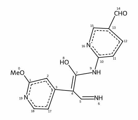 COc1cc(/C(C=N)=C(\O)Nc2ccc(C=O)cn2)ccn1